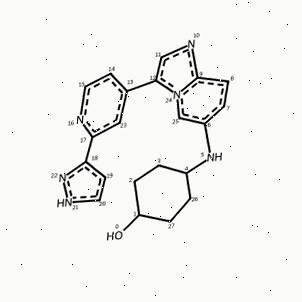 OC1CCC(Nc2ccc3ncc(-c4ccnc(-c5cc[nH]n5)c4)n3c2)CC1